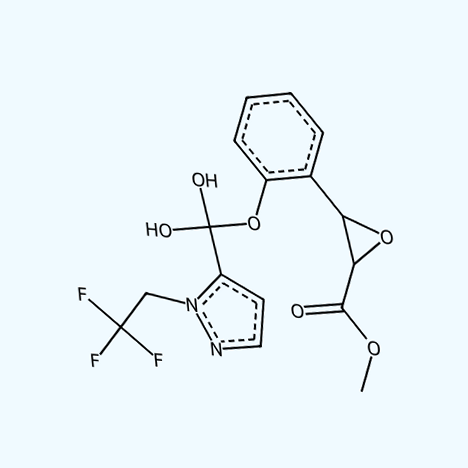 COC(=O)C1OC1c1ccccc1OC(O)(O)c1ccnn1CC(F)(F)F